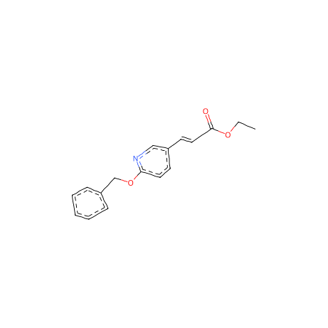 CCOC(=O)C=Cc1ccc(OCc2ccccc2)nc1